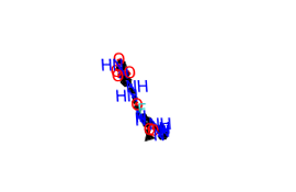 O=C1CCC(N2C(=O)c3ccc(NCCNCCOC[C@H](F)Cn4cc5cc(NC(=O)c6cnn7cccnc67)c(OCC6CC6)cc5n4)cc3C2=O)C(=O)N1